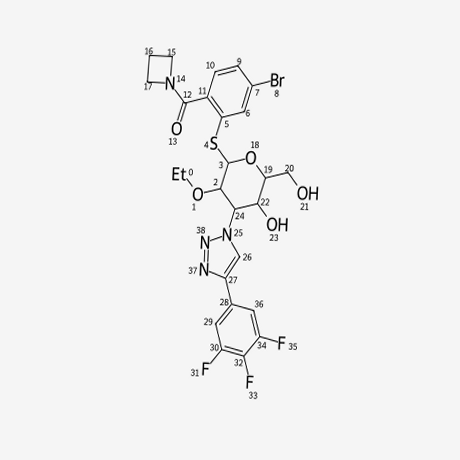 CCOC1C(Sc2cc(Br)ccc2C(=O)N2CCC2)OC(CO)C(O)C1n1cc(-c2cc(F)c(F)c(F)c2)nn1